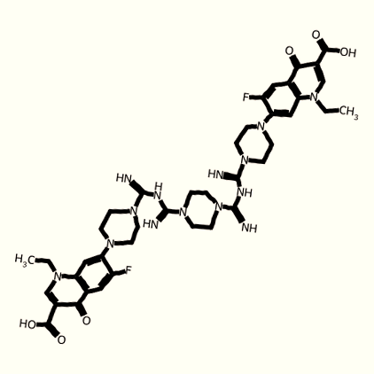 CCn1cc(C(=O)O)c(=O)c2cc(F)c(N3CCN(C(=N)NC(=N)N4CCN(C(=N)NC(=N)N5CCN(c6cc7c(cc6F)c(=O)c(C(=O)O)cn7CC)CC5)CC4)CC3)cc21